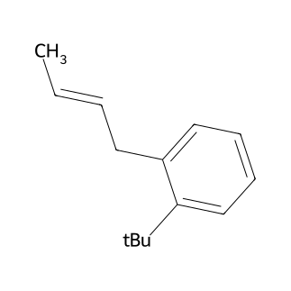 CC=CCc1ccccc1C(C)(C)C